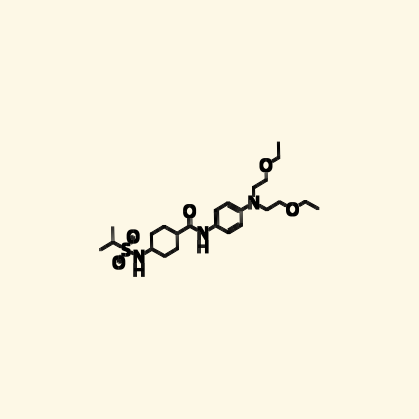 CCOCCN(CCOCC)c1ccc(NC(=O)C2CCC(NS(=O)(=O)C(C)C)CC2)cc1